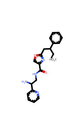 NC(CNC(=O)c1coc(CC(CC(=O)O)c2ccccc2)n1)c1ccccn1